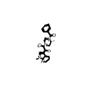 C[C@@H]1CN(C(=O)C(=O)c2cn(C)c3ncccc23)CCN1C(=O)c1ccccc1